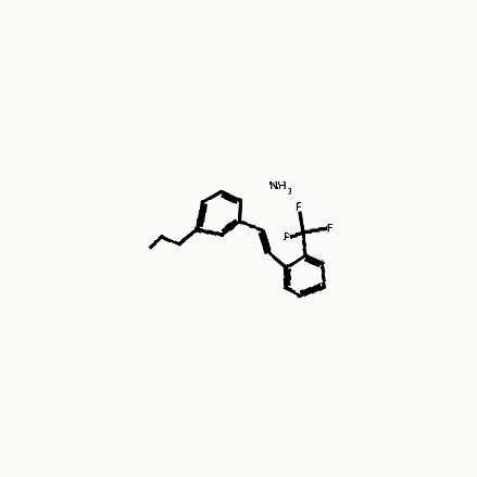 CCCc1cccc(C=Cc2ccccc2C(F)(F)F)c1.N